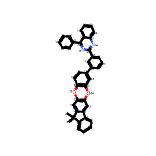 CC1(C)c2ccccc2-c2cc3c(cc21)Oc1ccc(-c2cccc(-c4nc(-c5ccccc5)c5ccccc5n4)c2)cc1O3